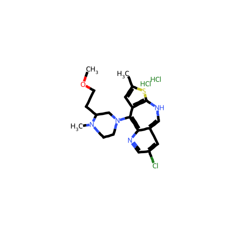 COCCC1CN(C2=c3ncc(Cl)cc3=CNc3sc(C)cc32)CCN1C.Cl.Cl